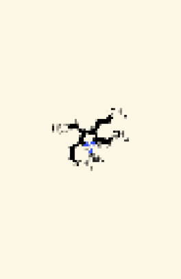 C=C/C=c1/c(C=C)c(/C=C\C)n(CCCC)/c1=C/C